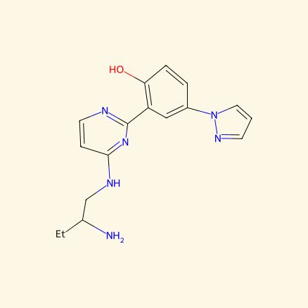 CCC(N)CNc1ccnc(-c2cc(-n3cccn3)ccc2O)n1